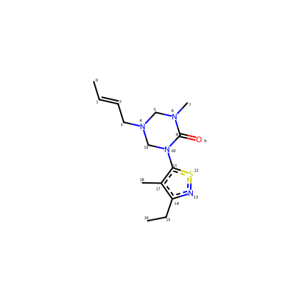 CC=CCN1CN(C)C(=O)N(c2snc(CC)c2C)C1